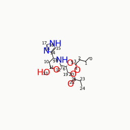 CCCC(=O)OC(CNC(CC(=O)O)c1c[nH]cn1)COC(=O)CC